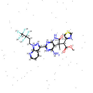 COC(=O)C(c1cscn1)C1(C)C(=O)Nc2nc(-c3nn(CCC(F)(F)C(F)(F)F)c4ncccc34)nc(N)c21